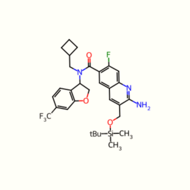 CC(C)(C)[Si](C)(C)OCc1cc2cc(C(=O)N(CC3CCC3)C3COc4cc(C(F)(F)F)ccc43)c(F)cc2nc1N